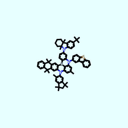 Cc1cc2c3c(c1)N(c1cc4c(cc1C)C(C)(C)CC4(C)C)c1cc4c(cc1B3c1ccc(N3c5ccc(C(C)(C)C)cc5C5(C)CCCCC35C)cc1N2c1ccc2sc3ccccc3c2c1)C(C)(C)c1ccccc1C4(C)C